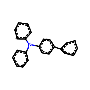 [c]1ccccc1N(c1ccccc1)c1ccc(-c2ccccc2)cc1